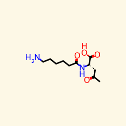 CC(=O)C[C@H](NC(=O)CCCCCN)C(=O)O